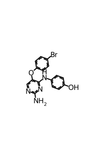 Nc1ncc(Oc2ccc(Br)cc2)c(Nc2ccc(O)cc2)n1